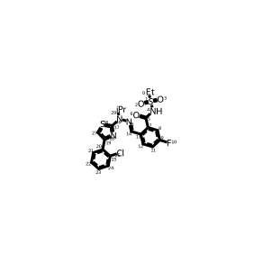 CCS(=O)(=O)NC(=O)c1cc(F)ccc1/C=N/N(c1nc(-c2ccccc2Cl)cs1)C(C)C